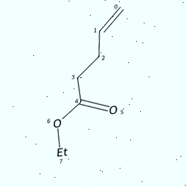 C=CC[CH]C(=O)OCC